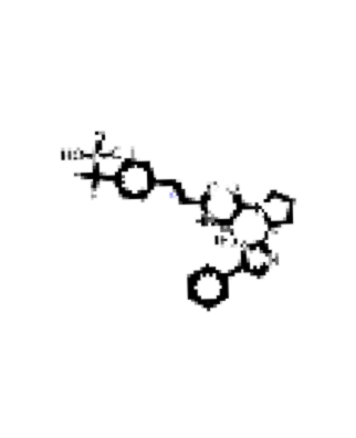 CC(C)(C)[C@H](NC(=O)/C=C/c1ccc(C(F)(F)P(=O)(O)O)cc1)C(=O)N1CCC[C@H]1c1ncc(-c2ccccc2)s1